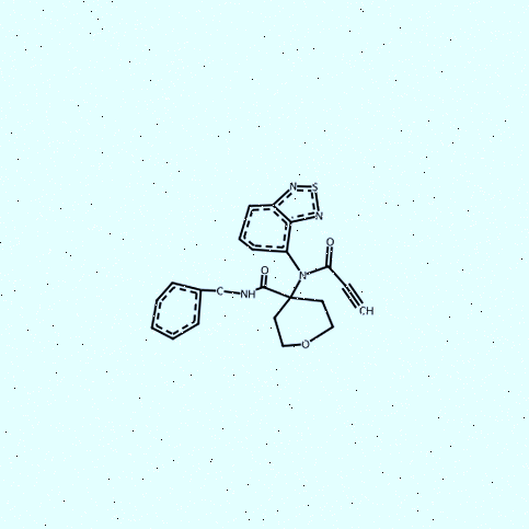 C#CC(=O)N(c1cccc2nsnc12)C1(C(=O)NCc2ccccc2)CCOCC1